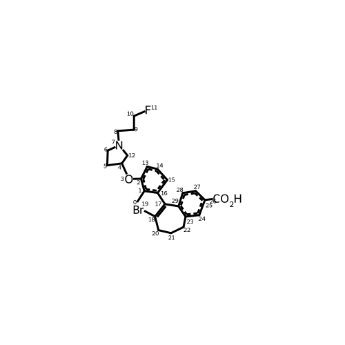 Cc1c(OC2CCN(CCCF)C2)cccc1C1=C(Br)CCCc2cc(C(=O)O)ccc21